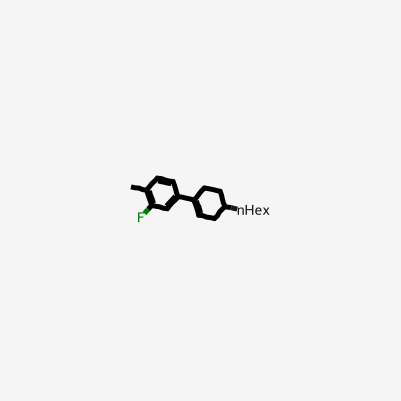 CCCCCCC1CC=C(c2ccc(C)c(F)c2)CC1